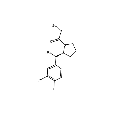 CCc1cc(C(O)[C@@H]2CCCN2C(=O)OC(C)(C)C)ccc1Cl